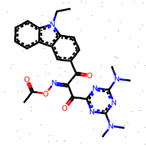 CCn1c2ccccc2c2cc(C(=O)C(=NOC(C)=O)C(=O)c3nc(N(C)C)nc(N(C)C)n3)ccc21